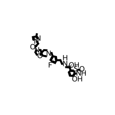 Cc1ccn(CC(=O)N2CCOC3(CCN(Cc4cc(F)cc(CCNC[C@H](O)c5ccc(O)c6[nH]c(=O)sc56)c4)CC3)C2)n1